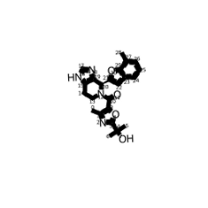 Cc1nc(C(C)(C)O)oc1C(=O)N1CCc2[nH]cnc2[C@H]1c1cc2cccc(C)c2o1